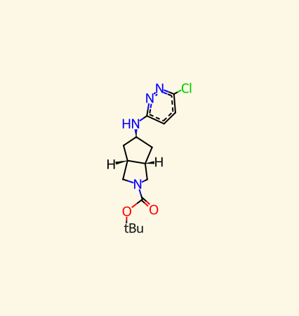 CC(C)(C)OC(=O)N1C[C@H]2C[C@H](Nc3ccc(Cl)nn3)C[C@H]2C1